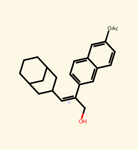 CC(=O)Oc1ccc2cc(/C(=C\C3CC4CCCC(C3)C4)CO)ccc2c1